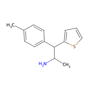 Cc1ccc(C(c2cccs2)C(C)N)cc1